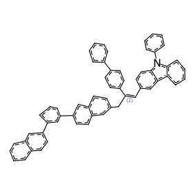 C(=C(\Cc1ccc2cc(-c3cccc(-c4ccc5ccccc5c4)c3)ccc2c1)c1ccc(-c2ccccc2)cc1)/c1ccc2c(c1)c1ccccc1n2-c1ccccc1